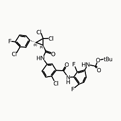 CC(C)(C)OC(=O)Nc1ccc(F)c(NC(=O)c2cc(NC(=O)[C@H]3[C@H](c4ccc(F)c(Cl)c4)C3(Cl)Cl)ccc2Cl)c1F